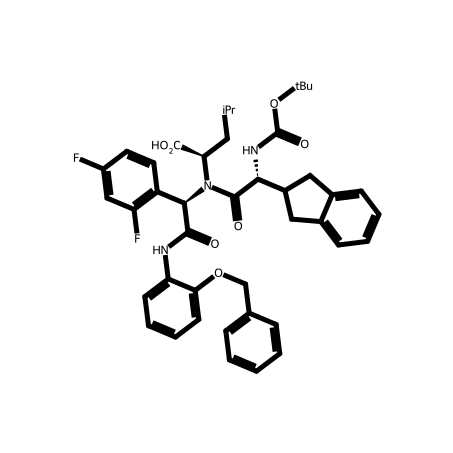 CC(C)C[C@H](C(=O)O)N(C(=O)[C@H](NC(=O)OC(C)(C)C)C1Cc2ccccc2C1)[C@@H](C(=O)Nc1ccccc1OCc1ccccc1)c1ccc(F)cc1F